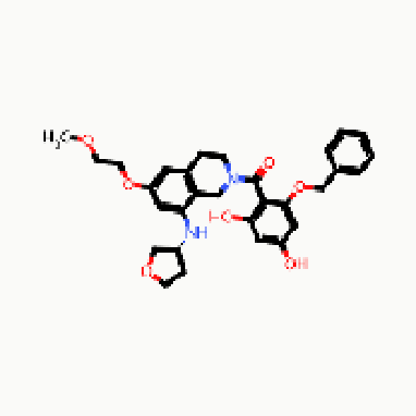 COCCOc1cc2c(c(N[C@@H]3CCOC3)c1)CN(C(=O)c1c(O)cc(O)cc1OCc1ccccc1)CC2